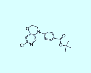 CC(C)(C)OC(=O)c1ccc(N2CCOc3cc(Cl)ncc32)cc1